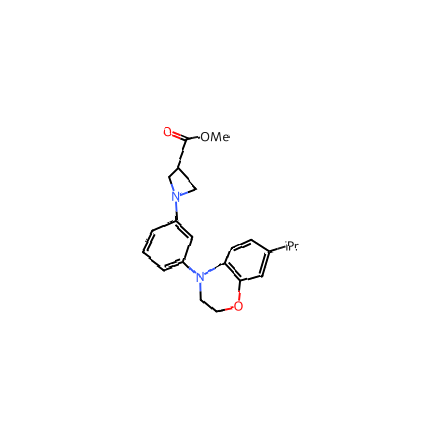 COC(=O)C1CN(c2cccc(N3CCOc4cc(C(C)C)ccc43)c2)C1